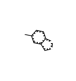 Clc1ccc2oncc2c1